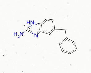 Nc1nc2cc(Cc3ccccc3)ccc2[nH]1